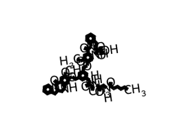 CCCCCC(=O)NCC(=O)NC(C)C(=O)Nc1cc(COc2cc3c(cc2OC)C(=O)N2c4ccccc4CC2CN3)cc(COc2cc3c(cc2OC)C(=O)N2c4ccccc4CC2[C@@H](S(=O)(=O)O)N3)c1